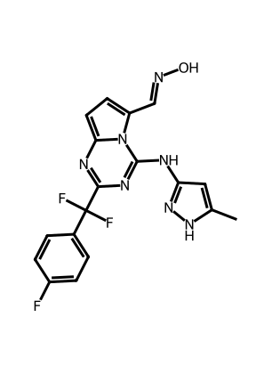 Cc1cc(Nc2nc(C(F)(F)c3ccc(F)cc3)nc3ccc(C=NO)n23)n[nH]1